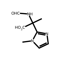 Cn1ccnc1C(C)(NC=O)C(=O)O